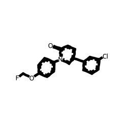 O=c1ccc(-c2cccc(Cl)c2)cn1-c1ccc(OCF)cc1